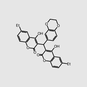 CCc1ccc2oc(=O)c(C(c3ccc4c(c3)OCCO4)c3c(O)c4cc(CC)ccc4oc3=O)c(O)c2c1